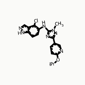 CC(C)Oc1ccc(-c2nc(Nc3ccc4[nH]ncc4c3Cl)n(C)n2)cn1